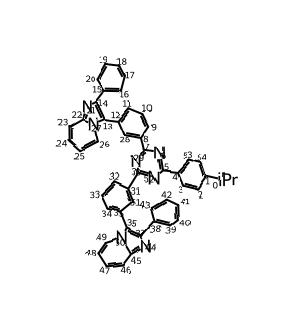 CC(C)c1ccc(-c2nc(-c3cccc(-c4c(-c5ccccc5)nc5ccccn45)c3)nc(-c3cccc(-c4c(-c5ccccc5)nc5ccccn45)c3)n2)cc1